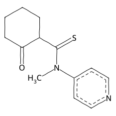 CN(C(=S)C1CCCCC1=O)c1ccncc1